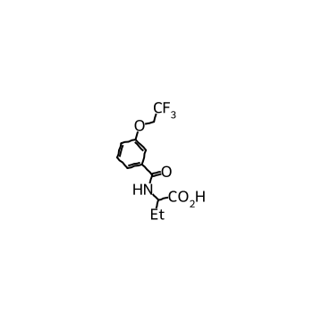 CCC(NC(=O)c1cccc(OCC(F)(F)F)c1)C(=O)O